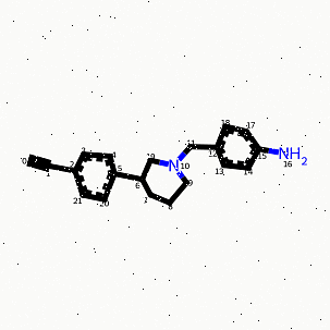 C#Cc1ccc(C2CCCN(Cc3ccc(N)cc3)C2)cc1